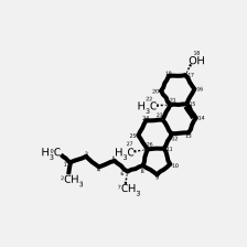 CC(C)CCC[C@@H](C)C1CCC2C3CC=C4C[C@@H](O)CC[C@]4(C)C3CC[C@@]21C